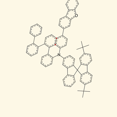 CC(C)(C)c1ccc2c(c1)C1(c3ccccc3-c3cc(N(c4ccc(-c5ccc6c(c5)oc5ccccc56)cc4)c4ccccc4-c4ccccc4-c4ccccc4-c4ccccc4)ccc31)c1cc(C(C)(C)C)ccc1-2